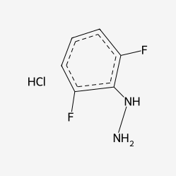 Cl.NNc1c(F)cccc1F